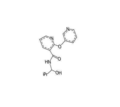 CC(C)C(O)NC(=O)c1cccnc1Oc1cccnc1